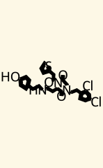 O=C(CC1C(=O)N(CCc2ccc(Cl)cc2Cl)CC(=O)N1CCc1cccs1)NCCc1ccc(O)cc1